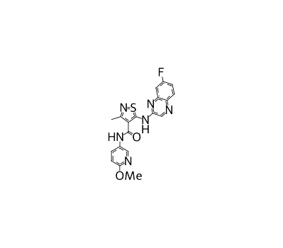 COc1ccc(NC(=O)c2c(C)nsc2Nc2cnc3ccc(F)cc3n2)cn1